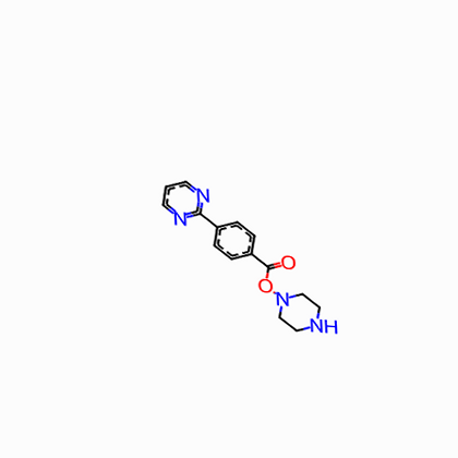 O=C(ON1CCNCC1)c1ccc(-c2ncccn2)cc1